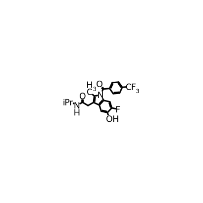 Cc1c(CC(=O)NC(C)C)c2cc(O)c(F)cc2n1C(=O)c1ccc(C(F)(F)F)cc1